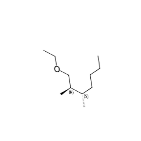 CCCC[C@H](C)[C@@H](C)COCC